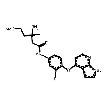 COCCC(C)(N)CC(=O)Nc1ccc(Oc2ccnc3[nH]ccc23)c(F)c1